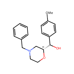 COc1ccc(C(O)[C@H]2CN(Cc3ccccc3)CCO2)cc1